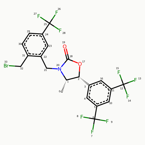 C[C@H]1[C@@H](c2cc(C(F)(F)F)cc(C(F)(F)F)c2)OC(=O)N1Cc1cc(C(F)(F)F)ccc1CBr